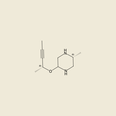 CC#C[C@@H](C)OC1CN[C@H](C)CN1